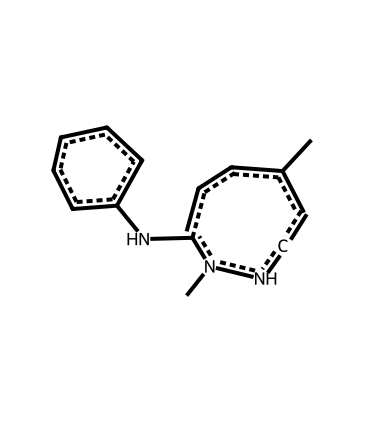 Cc1cc[nH]n(C)c(Nc2ccccc2)cc1